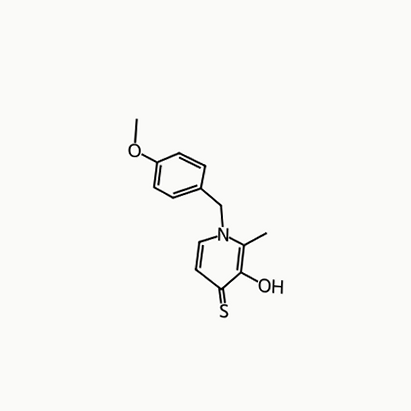 COc1ccc(Cn2ccc(=S)c(O)c2C)cc1